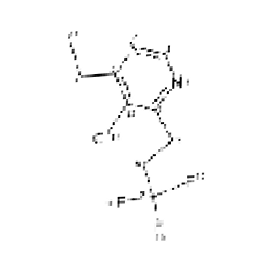 CCc1ncnc(CCC(F)(F)F)c1Cl